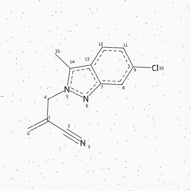 C=C(C#N)Cn1nc2cc(Cl)ccc2c1C